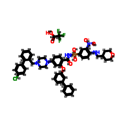 O=C(NS(=O)(=O)c1ccc(NCC2CCOCC2)c([N+](=O)[O-])c1)c1ccc(N2CCN(Cc3ccccc3-c3ccc(Cl)cc3)CC2)cc1Oc1cccc(-c2ccccc2)c1.O=C(O)C(F)(F)F